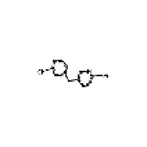 CC(C)c1ccc(Cc2cccc(Cl)c2)cn1